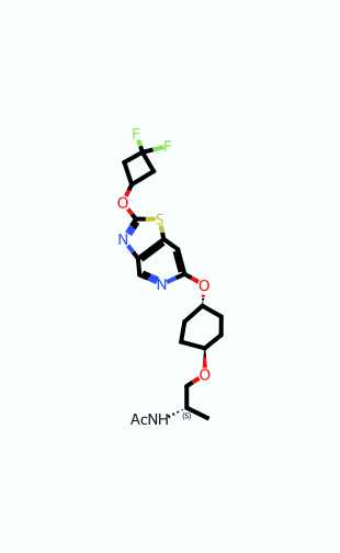 CC(=O)N[C@@H](C)CO[C@H]1CC[C@H](Oc2cc3sc(OC4CC(F)(F)C4)nc3cn2)CC1